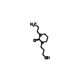 CCCN1CCCN(CCCO)C1=O